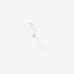 CC(=O)NC(Cc1c[nH]cn1)C(=O)NCc1cn(CCOC(=O)CCNC(C)S)nn1